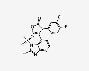 [CH2]c1nc2nccc(-c3noc(=O)n3-c3ccc(F)c(Cl)c3)c2n1S(C)(=O)=O